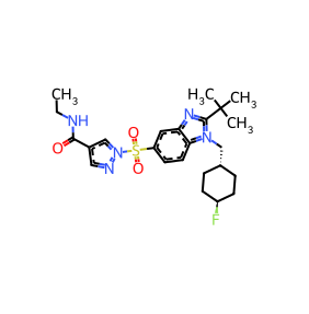 CCNC(=O)c1cnn(S(=O)(=O)c2ccc3c(c2)nc(C(C)(C)C)n3C[C@H]2CC[C@H](F)CC2)c1